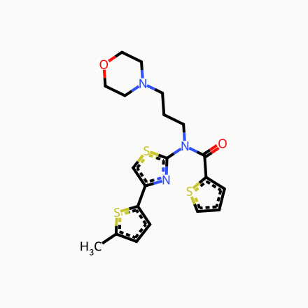 Cc1ccc(-c2csc(N(CCCN3CCOCC3)C(=O)c3cccs3)n2)s1